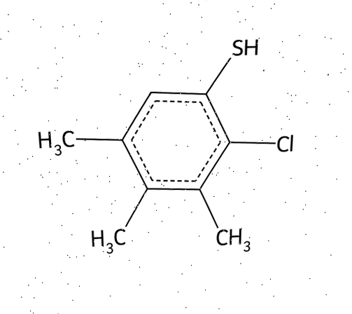 Cc1cc(S)c(Cl)c(C)c1C